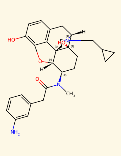 CN(C(=O)Cc1cccc(N)c1)[C@@H]1CC[C@@]2(O)[C@H]3Cc4ccc(O)c5c4[C@@]2(CCN3CC2CC2)[C@H]1O5